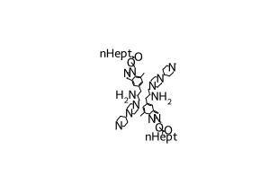 CCCCCCCC(=O)OCn1cc2cc(C[C@@H](N)CN3CCN(C4CCN(C)CC4)CC3)cc(C)c2n1.CCCCCCCC(=O)OCn1ncc2cc(C[C@@H](N)CN3CCN(C4CCN(C)CC4)CC3)cc(C)c21